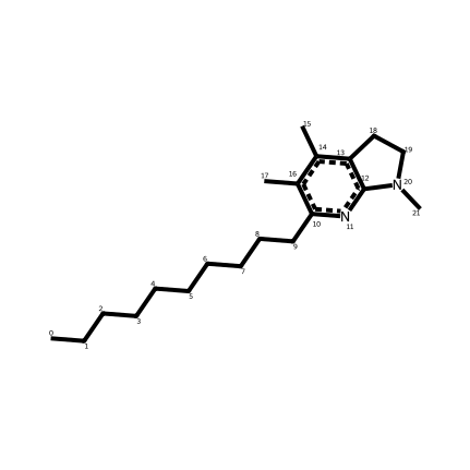 CCCCCCCCCCc1nc2c(c(C)c1C)CCN2C